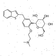 CN(C)CCOc1ccc(Cc2cc3ccccc3s2)cc1[C@@H]1O[C@H](CO)[C@@H](O)[C@H](O)[C@H]1O